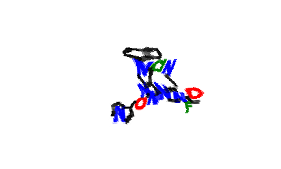 C=C(F)C(=O)N1CCN(c2nc(OCC3CCN4CCCC34)nc3c2CCN(c2cccc4cccc(Cl)c24)C3)C[C@@H]1CC#N